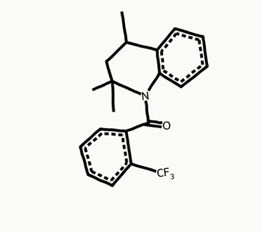 CC1CC(C)(C)N(C(=O)c2ccccc2C(F)(F)F)c2ccccc21